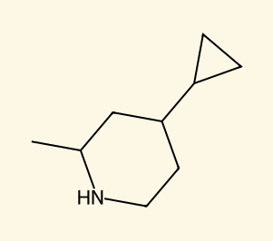 CC1CC(C2CC2)CCN1